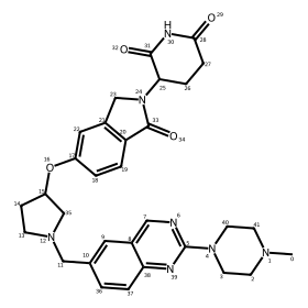 CN1CCN(c2ncc3cc(CN4CCC(Oc5ccc6c(c5)CN(C5CCC(=O)NC5=O)C6=O)C4)ccc3n2)CC1